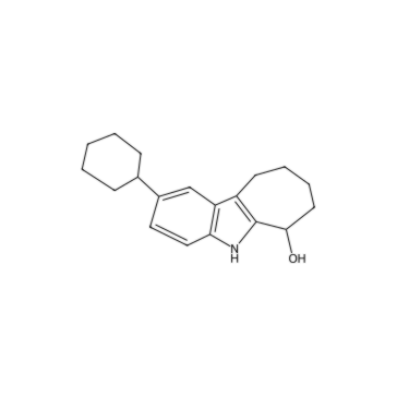 OC1CCCCc2c1[nH]c1ccc(C3CCCCC3)cc21